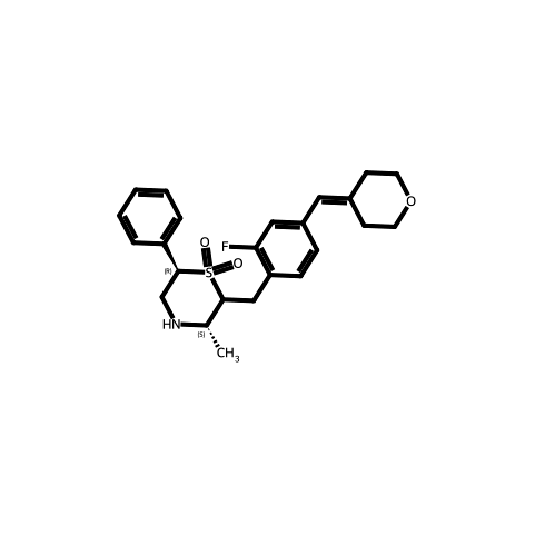 C[C@@H]1NC[C@@H](c2ccccc2)S(=O)(=O)C1Cc1ccc(C=C2CCOCC2)cc1F